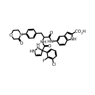 O=C(O)c1cc2cc(NC(=O)C(Cc3ccc(N4CCOCC4=O)cc3)NC(=O)C3(c4cccc(Cl)c4F)C=CNN3)ccc2[nH]1